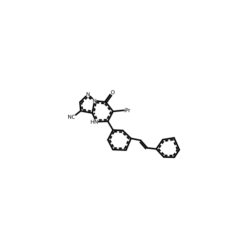 CC(C)c1c(-c2cccc(/C=C/c3ccccc3)c2)[nH]c2c(C#N)cnn2c1=O